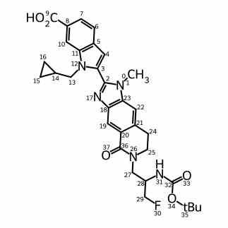 Cn1c(-c2cc3ccc(C(=O)O)cc3n2CC2CC2)nc2cc3c(cc21)CCN(CC(CF)NC(=O)OC(C)(C)C)C3=O